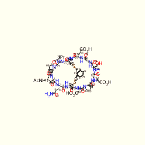 CC(=O)N[C@H]1C[C@H]2C(=O)N[C@@H](CCC(N)=O)C(=O)N[C@H]3CSCc4ccccc4CSC[C@H](NC(=O)[C@H](CCC(=O)O)NC(=O)CNC(=O)[C@H]([C@@H](C)O)NC(=O)[C@H](CCC(=O)O)NC(=O)[C@@H]4CCCN4C(=O)[C@H](CC(=O)O)NC3=O)C(=O)N[C@@H](CC(C)C)C(=O)N3CCC[C@@H]3C(=O)N2C1